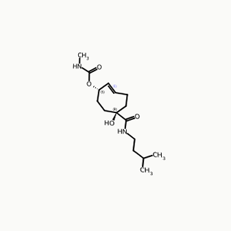 CNC(=O)O[C@@H]1/C=C/CC[C@](O)(C(=O)NCCC(C)C)CC1